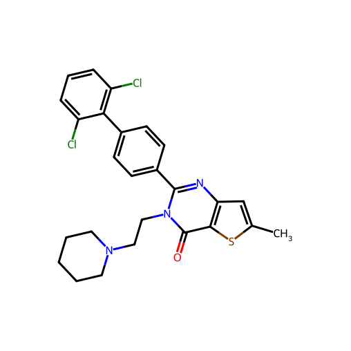 Cc1cc2nc(-c3ccc(-c4c(Cl)cccc4Cl)cc3)n(CCN3CCCCC3)c(=O)c2s1